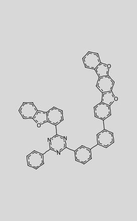 c1ccc(-c2nc(-c3cccc(-c4cccc(-c5ccc6c(c5)oc5cc7oc8ccccc8c7cc56)c4)c3)nc(-c3cccc4c3oc3ccccc34)n2)cc1